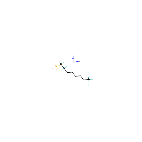 CNC.O=S(=O)(O)C(F)(F)C(F)(F)CCCCCC(F)(F)F